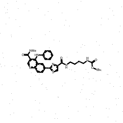 CNC(=O)c1cnc2ccc(-c3nc(C(=O)NCCCCNC(=O)OC(C)(C)C)cs3)cc2c1Nc1ccccc1